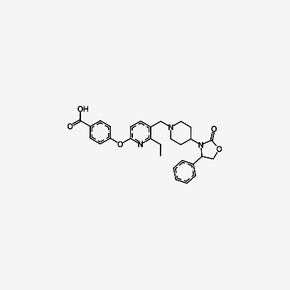 CCc1nc(Oc2ccc(C(=O)O)cc2)ccc1CN1CCC(N2C(=O)OCC2c2ccccc2)CC1